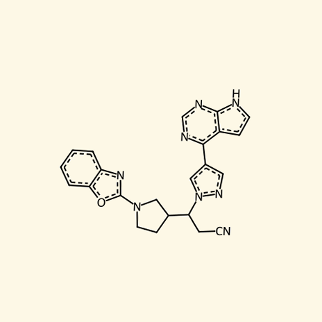 N#CCC(C1CCN(c2nc3ccccc3o2)C1)n1cc(-c2ncnc3[nH]ccc23)cn1